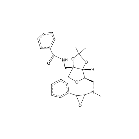 CN(C[C@H]1OC[C@]2(CNC(=O)c3ccccc3)OC(C)(C)O[C@H]12)C1OC1c1ccccc1